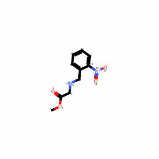 COC(=O)CNCc1ccccc1[N+](=O)[O-]